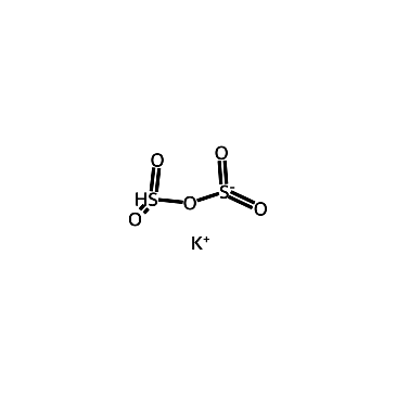 O=[S-](=O)O[SH](=O)=O.[K+]